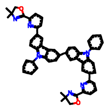 CC1(C)COC(c2cccc(-c3ccc4c(c3)c3cc(-c5ccc6c(c5)c5cc(-c7cccc(C8=NC(C)(C)CO8)n7)ccc5n6-c5ccccc5)ccc3n4-c3ccccc3)n2)=N1